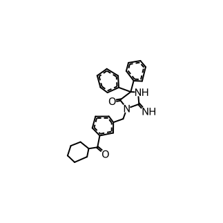 N=C1NC(c2ccccc2)(c2ccccc2)C(=O)N1Cc1cccc(C(=O)C2CCCCC2)c1